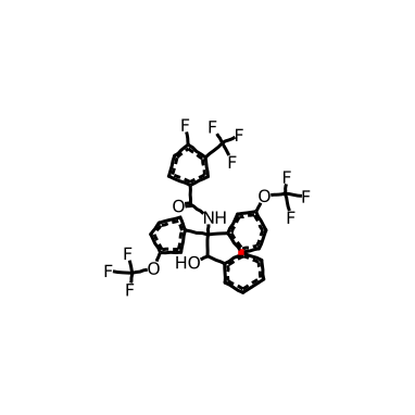 O=C(NC(c1cccc(OC(F)(F)F)c1)(c1cccc(OC(F)(F)F)c1)C(O)c1ccccc1)c1ccc(F)c(C(F)(F)F)c1